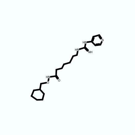 N=C(NCCCCCCC(=O)NOCC1CCCCC1)Nc1ccncc1